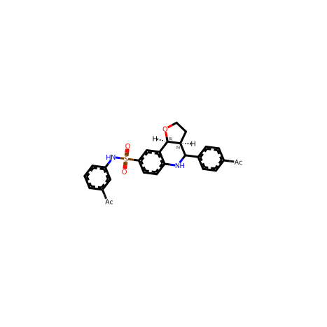 CC(=O)c1ccc(C2Nc3ccc(S(=O)(=O)Nc4cccc(C(C)=O)c4)cc3[C@H]3OCC[C@@H]23)cc1